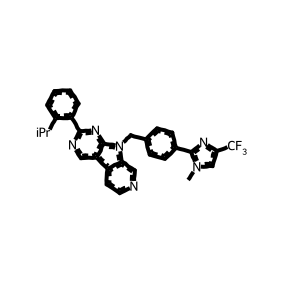 CC(C)c1ccccc1-c1ncc2c3ccncc3n(Cc3ccc(-c4nc(C(F)(F)F)cn4C)cc3)c2n1